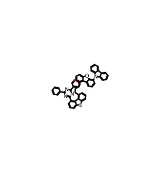 c1ccc(-c2nc(-c3ccccc3)nc(-c3cccc4sc5cccc(CCCc6cccc7oc8c(-n9c%10ccccc%10c%10ccccc%109)cccc8c67)c5c34)n2)cc1